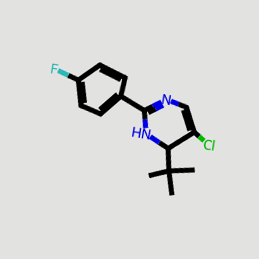 CC(C)(C)C1NC(c2ccc(F)cc2)=NC=C1Cl